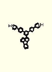 C1=CC(c2ccc(-c3cc(-c4ccc(C5=CCNC=C5)cc4)cc(-c4ccc5c6c(cccc46)-c4ccccc4-5)c3)cc2)=CCN1